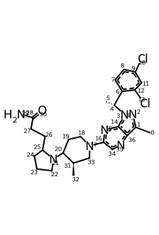 Cc1nn([C@H](C)c2ccc(Cl)cc2Cl)c2nc(N3CCC(N4CCCC4CCC(N)=O)[C@H](C)C3)cnc12